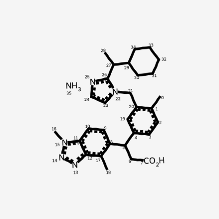 Cc1ccc(C(CC(=O)O)c2ccc3c(nnn3C)c2C)cc1Cn1ccnc1C(C)C1CCCCC1.N